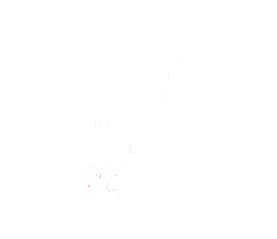 CCCCCCCCCCCCCCCCCC(C)(C)C(N)N1CCCC1=O.Cl